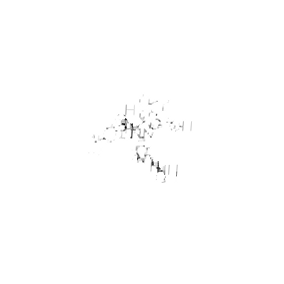 COc1ccccc1Oc1c(NS(=O)(=O)c2ccc(C(C)(C)C)cc2)nc(-c2ccnc(C=NNO)c2)nc1OCCO